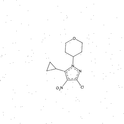 O=[N+]([O-])c1c(Cl)nn(C2CCOCC2)c1C1CC1